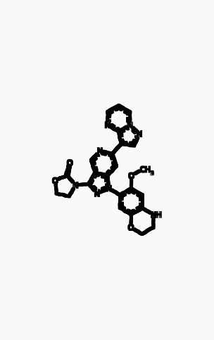 COc1cc2c(cc1-n1nc(N3CCOC3=O)c3cnc(-c4cnn5cccnc45)cc31)OCCN2